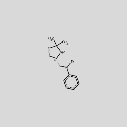 CCN(C[C@@H]1COC(C)(C)N1)c1ccccc1